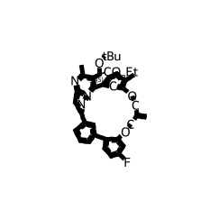 C=C1COc2cc(ccc2C)-c2c([C@H](OC(C)(C)C)C(=O)OCC)c(C)nc3cc(nn23)-c2cccc(c2)-c2ccc(F)cc2OC1